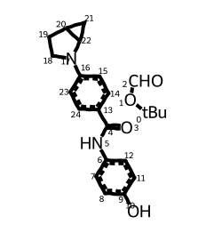 CC(C)(C)OC=O.O=C(Nc1ccc(O)cc1)c1ccc(N2CCC3CC32)cc1